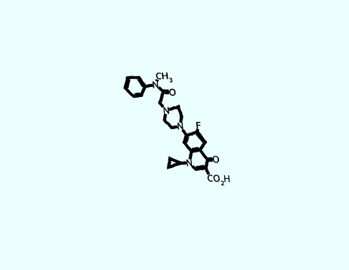 CN(C(=O)CN1CCN(c2cc3c(cc2F)c(=O)c(C(=O)O)cn3C2CC2)CC1)c1ccccc1